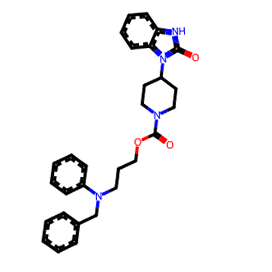 O=C(OCCCN(Cc1ccccc1)c1ccccc1)N1CCC(n2c(=O)[nH]c3ccccc32)CC1